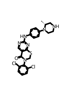 C[C@@H]1CNCCN1c1ccc(Nc2ncc3c(n2)SCN(c2c(Cl)cccc2Cl)C3=O)cc1